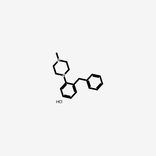 CN1CCN(c2ccccc2Cc2ccccc2)CC1.Cl